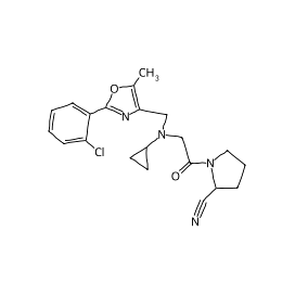 Cc1oc(-c2ccccc2Cl)nc1CN(CC(=O)N1CCCC1C#N)C1CC1